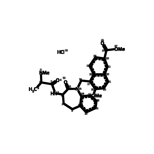 CNC(C)C(=O)NC1CCc2ccccc2N(Cc2c(OC)ccc3cc(C(=O)OC)ccc23)C1=O.Cl